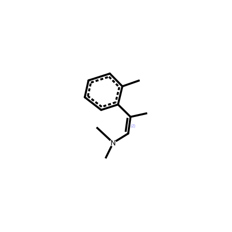 C/C(=C/N(C)C)c1ccccc1C